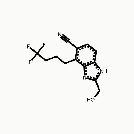 N#Cc1ccc2[nH]c(CO)nc2c1CCCC(F)(F)F